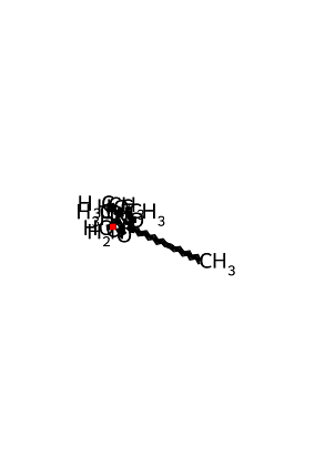 CCCCCCCCCCCCCCCCCCN(C(=O)[C@@H](NC(=O)OC(C)(C)C)C(C)C)[C@H](CCC(=O)O)C(N)=O